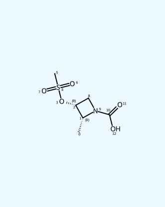 C[C@@H]1[C@H](OS(C)(=O)=O)CN1C(=O)O